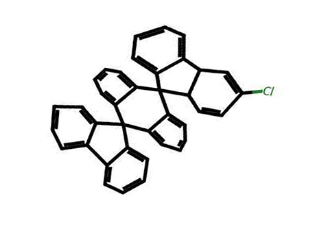 ClC1=CC2c3ccccc3C3(c4ccccc4C4(c5ccccc5-c5ccccc54)c4ccccc43)C2C=C1